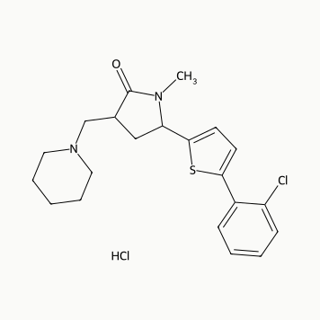 CN1C(=O)C(CN2CCCCC2)CC1c1ccc(-c2ccccc2Cl)s1.Cl